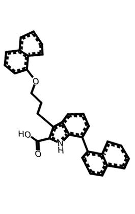 O=C(O)c1[nH]c2c(-c3cccc4ccccc34)cccc2c1CCCOc1cccc2ccccc12